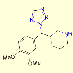 COc1ccc([C@@H]([C@H]2CCCNC2)n2ncnn2)cc1OC